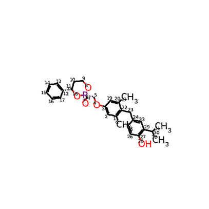 Cc1cc(OC[P@@]2(=O)OCC[C@@H](c3ccccc3)O2)cc(C)c1Cc1ccc(O)c(C(C)C)c1